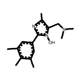 Cc1cc(-c2nc(C)c(CN(C)C)n2O)cc(C)c1C